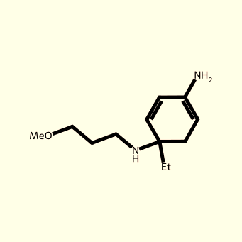 CCC1(NCCCOC)C=CC(N)=CC1